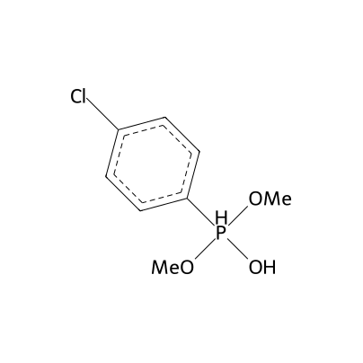 CO[PH](O)(OC)c1ccc(Cl)cc1